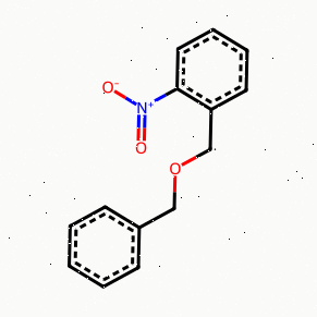 O=[N+]([O-])c1ccccc1[CH]OCc1ccccc1